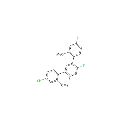 COc1cc(Cl)ccc1-c1cc(-c2ccc(Cl)cc2OC)c(F)cc1F